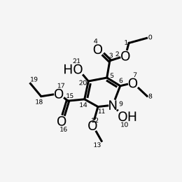 CCOC(=O)C1=C(OC)N(O)C(OC)C(C(=O)OCC)=C1O